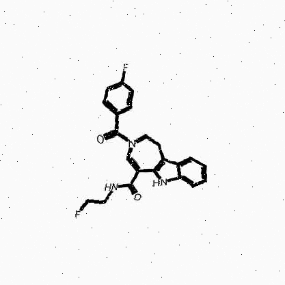 O=C(NCCF)C1=CN(C(=O)c2ccc(F)cc2)CCc2c1[nH]c1ccccc21